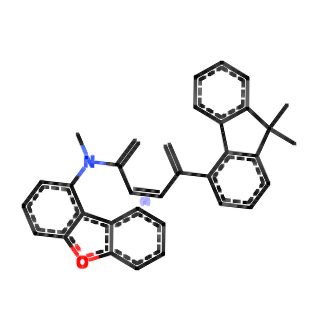 C=C(/C=C\C(=C)N(C)c1cccc2oc3ccccc3c12)c1cccc2c1-c1ccccc1C2(C)C